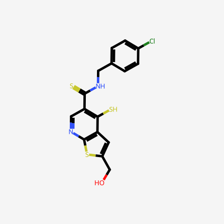 OCc1cc2c(S)c(C(=S)NCc3ccc(Cl)cc3)cnc2s1